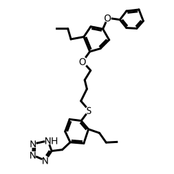 CCCc1cc(Oc2ccccc2)ccc1OCCCCSc1ccc(Cc2nnn[nH]2)cc1CCC